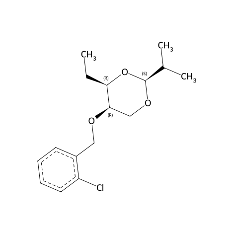 CC[C@H]1O[C@@H](C(C)C)OC[C@H]1OCc1ccccc1Cl